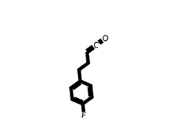 O=C=CCCc1ccc(F)cc1